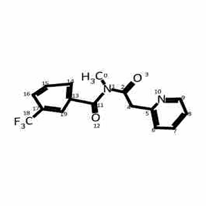 CN(C(=O)Cc1ccccn1)C(=O)c1cccc(C(F)(F)F)c1